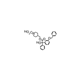 O=C(O)N1CCC(COC(=O)C(O)(c2ccccc2)c2cccc(OCc3ccccc3)c2)CC1